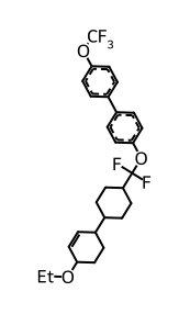 CCOC1C=CC(C2CCC(C(F)(F)Oc3ccc(-c4ccc(OC(F)(F)F)cc4)cc3)CC2)CC1